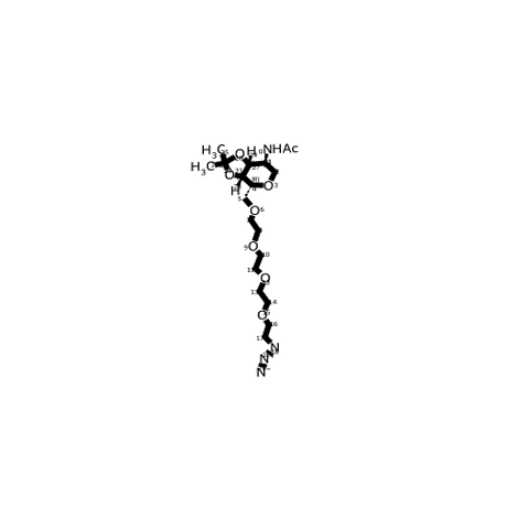 CC(=O)N[C@H]1CO[C@H](COCCOCCOCCOCCN=[N+]=[N-])[C@@H]2OC(C)(C)O[C@@H]21